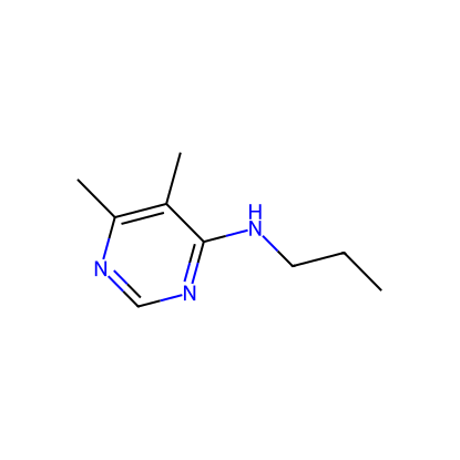 CCCNc1ncnc(C)c1C